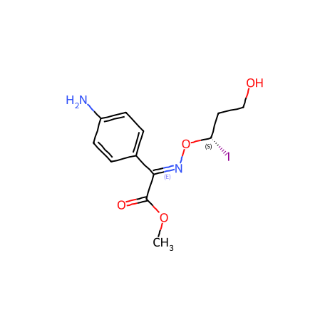 COC(=O)/C(=N/O[C@@H](I)CCO)c1ccc(N)cc1